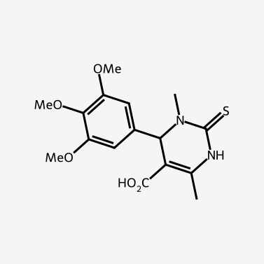 COc1cc(C2C(C(=O)O)=C(C)NC(=S)N2C)cc(OC)c1OC